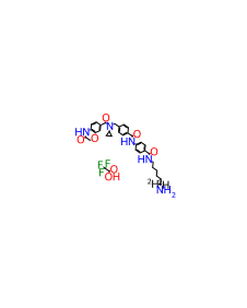 O=C(O)C(F)(F)F.[2H]C([2H])(N)CCCCCNC(=O)c1ccc(NC(=O)c2ccc(CN(C(=O)c3ccc4c(c3)OCC(=O)N4)C3CC3)cc2)cc1